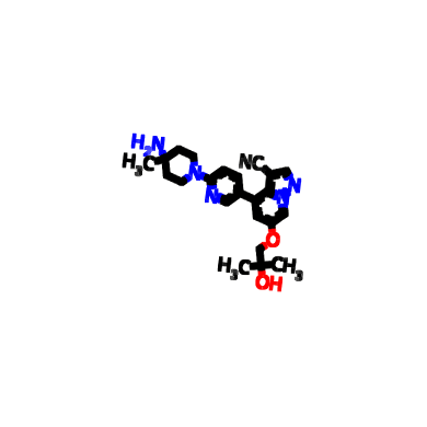 CC(C)(O)COc1cc(-c2ccc(N3CCC(C)(N)CC3)nc2)c2c(C#N)cnn2c1